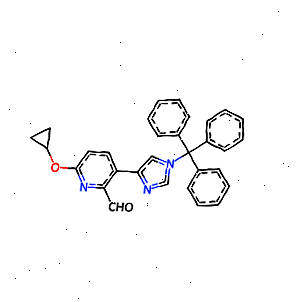 O=Cc1nc(OC2CC2)ccc1-c1cn(C(c2ccccc2)(c2ccccc2)c2ccccc2)cn1